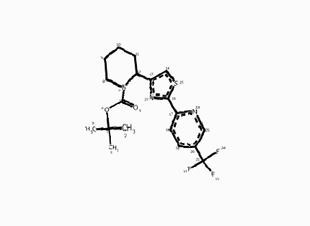 CC(C)(C)OC(=O)N1CCCCC1c1csc(-c2ccc(C(F)(F)F)cn2)n1